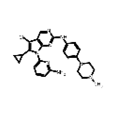 CN1CCN(c2ccc(Nc3ncc4c(Cl)c(C5CC5)n(-c5cccc(N)n5)c4n3)cc2)CC1